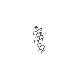 CNC(=O)c1cccc(Br)c1Nc1nc(Nc2ccc3c(c2)CCOC(=O)N3C)ncc1Cl